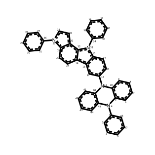 c1ccc(N2c3ccccc3N(c3ccc4c(c3)c3ccc5c(ccn5-c5ccccc5)c3n4-c3ccccc3)c3ccccc32)cc1